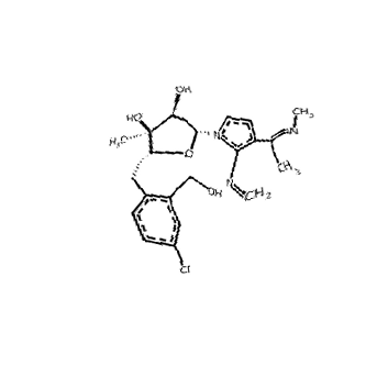 C=Nc1c(/C(C)=N\C)ccn1[C@@H]1O[C@H](Cc2ccc(Cl)cc2CO)[C@@](C)(O)[C@H]1O